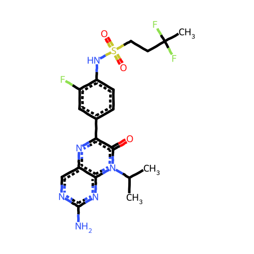 CC(C)n1c(=O)c(-c2ccc(NS(=O)(=O)CCC(C)(F)F)c(F)c2)nc2cnc(N)nc21